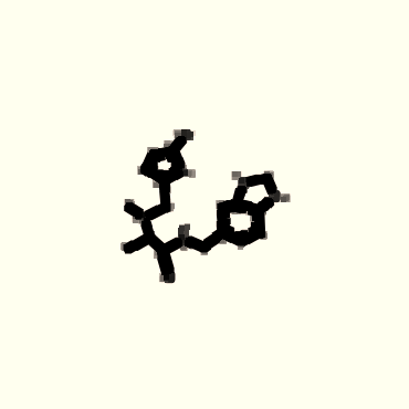 CC(C(=O)NCc1ccc2c(c1)OCO2)N(C)Cc1ccc(Br)s1